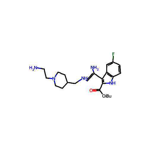 CC(C)COC(=O)c1[nH]c2ccc(F)cc2c1/C(N)=C/NCC1CCN(CCN)CC1